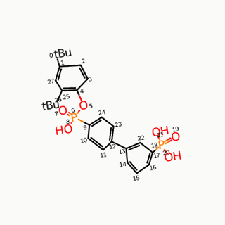 CC(C)(C)c1ccc(OP(=O)(O)c2ccc(-c3cccc(P(=O)(O)O)c3)cc2)c(C(C)(C)C)c1